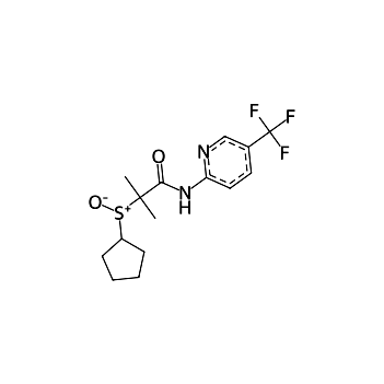 CC(C)(C(=O)Nc1ccc(C(F)(F)F)cn1)[S+]([O-])C1CCCC1